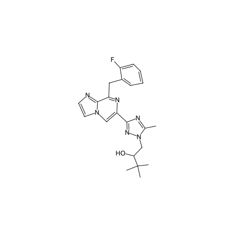 Cc1nc(-c2cn3ccnc3c(Cc3ccccc3F)n2)nn1CC(O)C(C)(C)C